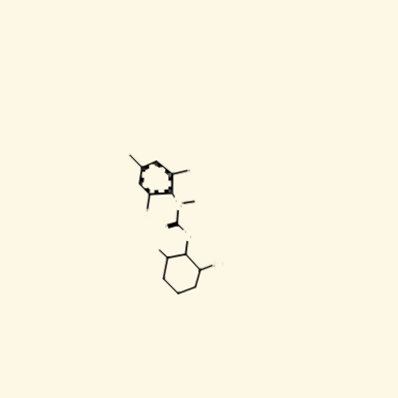 CCc1cc(C)cc(CC)c1N(S)C(=O)NC1C(CC)CCCC1CC